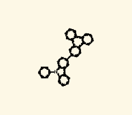 c1ccc(-n2c3ccccc3c3cc(-c4ccc5c6ccccc6c6ccccc6c5c4)ccc32)cc1